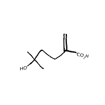 C=C(CCC(C)(C)O)C(=O)O